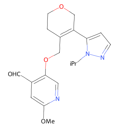 COc1cc(C=O)c(OCC2=C(c3ccnn3C(C)C)COCC2)cn1